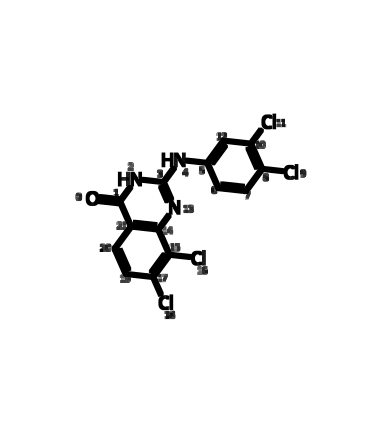 O=c1[nH]c(Nc2ccc(Cl)c(Cl)c2)nc2c(Cl)c(Cl)ccc12